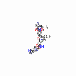 CC(C)N(C(=O)c1ccc(NS(=O)(=O)c2ccc(-c3cncnc3)cn2)cc1F)[C@@H](Cc1ccc(-n2c(=O)c3ccncc3n(C)c2=O)cc1)C(=O)O